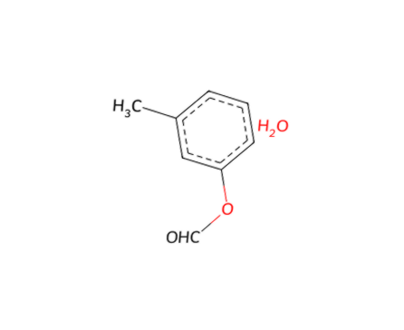 Cc1cccc(OC=O)c1.O